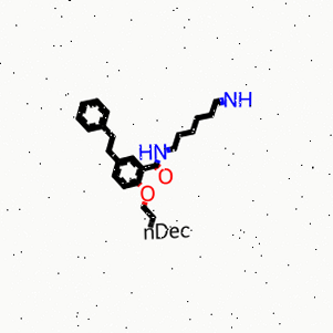 CCCCCCCCCCCCOc1ccc(CCc2ccccc2)cc1C(=O)NCCCCCC=N